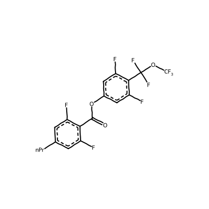 CCCc1cc(F)c(C(=O)Oc2cc(F)c(C(F)(F)OC(F)(F)F)c(F)c2)c(F)c1